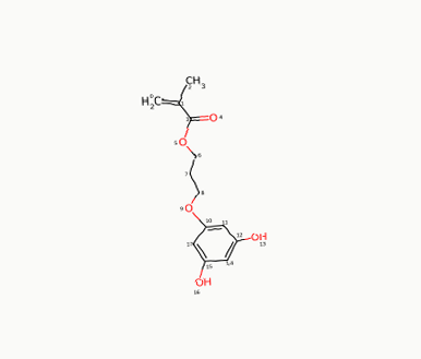 C=C(C)C(=O)OCCCOc1cc(O)cc(O)c1